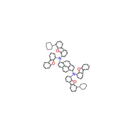 c1ccc2c(c1)oc1c(N(c3ccc4ccc5c(N(c6cccc7c6oc6ccccc67)c6cccc7c6oc6c(C8CCCCC8)cccc67)ccc6ccc3c4c65)c3cccc4c3oc3c(C5CCCCC5)cccc34)cccc12